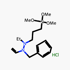 C=CN(Cc1ccccc1)N(CC)CCC[Si](OC)(OC)OC.Cl